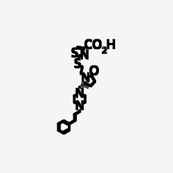 O=C(O)c1csc(SCCN2C(=O)CC[C@@H]2CN2CCN(CC=Cc3ccccc3)CC2)n1